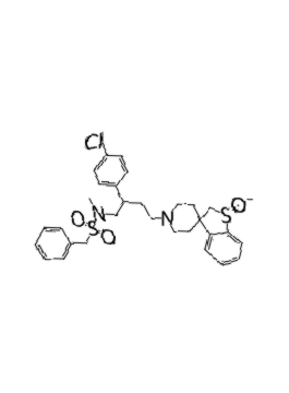 CN(CC(CCN1CCC2(CC1)C[S+]([O-])c1ccccc12)c1ccc(Cl)cc1)S(=O)(=O)Cc1ccccc1